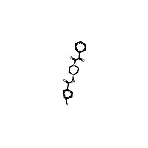 O=C(NN1CCN(C(=O)C(=O)c2ccccc2)CC1)c1ccc(F)cc1